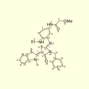 CCNc1ccc(NC(=O)COC)cc1/N=C1\S/C(=C2\Sc3ccccc3N2C)C(=O)N1Cc1ccccc1